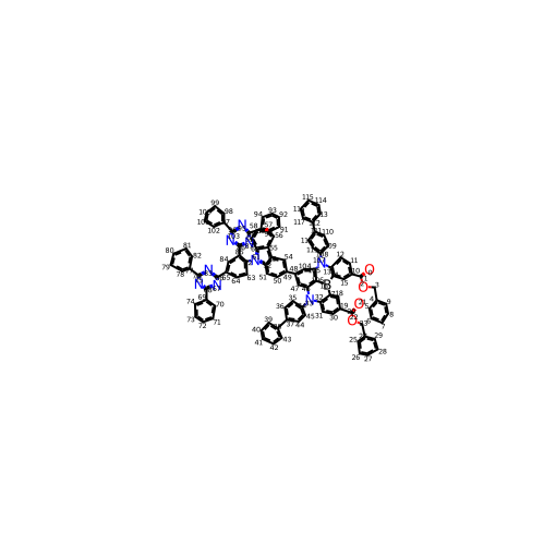 O=C(OCc1ccccc1)c1ccc2c(c1)B1c3cc(C(=O)OCc4ccccc4)ccc3N(c3ccc(-c4ccccc4)cc3)c3cc(-c4ccc5c(c4)c4ccccc4n5-c4ccc(-c5nc(-c6ccccc6)nc(-c6ccccc6)n5)cc4-c4nc(-c5ccccc5)nc(-c5ccccc5)n4)cc(c31)N2c1ccc(-c2ccccc2)cc1